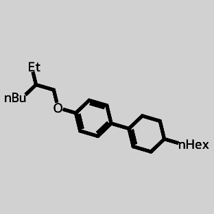 CCCCCCC1CC=C(c2ccc(OCC(CC)CCCC)cc2)CC1